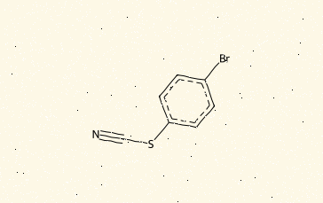 N#CSc1ccc(Br)cc1